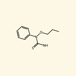 CCCON(C([NH])=S)c1ccccc1